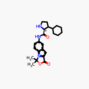 CC1(C)OC(=O)c2cc3cc(NC(=O)[C@H]4NCCC4C4CCCCC4)ccc3n21